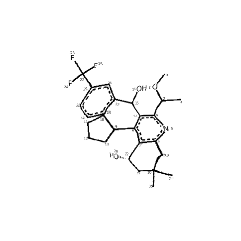 COC(C)c1nc2c(c(C3CCCC3)c1C(O)c1cccc(C(F)(F)F)c1)[C@@H](O)CC(C)(C)C2